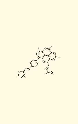 CC(=O)OCC1O[C@@H](Oc2ccc(/C=C/C3OCCO3)cc2)[C@@H](OC(C)=O)C(OC(C)=O)[C@H]1OC(C)=O